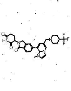 CN1C=CN2C=C(CN3CCC(C(F)(F)F)CC3)C=C(c3ccc4c(c3)CN(C3CCC(=O)NC3=O)C4=O)C12